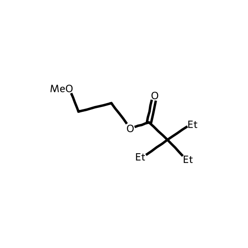 CCC(CC)(CC)C(=O)OCCOC